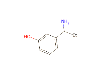 CCC(N)c1cccc(O)c1